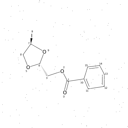 O=C(OC[C@@H]1OC[C@@H](I)O1)c1ccccc1